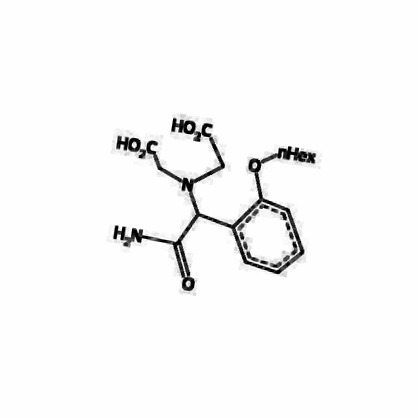 CCCCCCOc1ccccc1C(C(N)=O)N(CC(=O)O)CC(=O)O